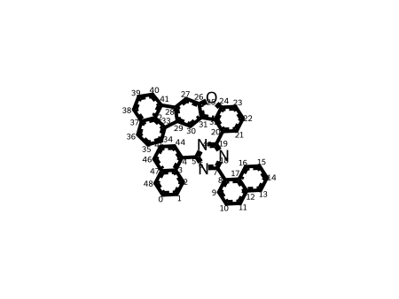 c1ccc2c(-c3nc(-c4cccc5ccccc45)nc(-c4cccc5oc6cc7c(cc6c45)-c4cccc5cccc-7c45)n3)cccc2c1